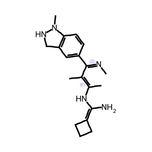 C/N=C(\C(C)=C(/C)NC(N)=C1CCC1)c1ccc2c(c1)CNN2C